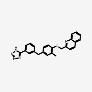 Cc1cc(Cc2cccc(-c3nnn[nH]3)c2)ccc1OCc1ccc2ccccc2n1